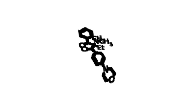 CCC(C(=O)c1ccccc1)(C(=O)c1ccc(N2CCOCC2)cc1)N(C)C